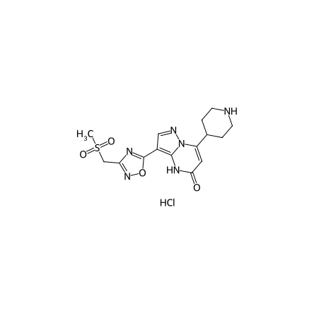 CS(=O)(=O)Cc1noc(-c2cnn3c(C4CCNCC4)cc(=O)[nH]c23)n1.Cl